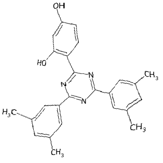 Cc1cc(C)cc(-c2nc(-c3cc(C)cc(C)c3)nc(-c3ccc(O)cc3O)n2)c1